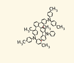 Cc1ccc(N(c2ccc(C)cc2)c2ccc(-c3cccc(-c4ccc(N(c5ccc(C)cc5)c5ccc(C)cc5)cc4C)c3-c3ccc4c(c3)c3ccccc3n4-c3ccccc3)c(C)c2)cc1